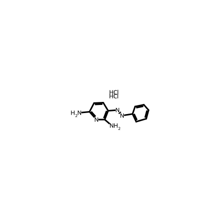 Cl.Cl.Nc1ccc(N=Nc2ccccc2)c(N)n1